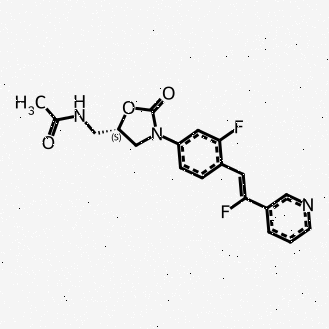 CC(=O)NC[C@H]1CN(c2ccc(C=C(F)c3cccnc3)c(F)c2)C(=O)O1